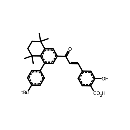 CC(C)(C)c1ccc(-c2cc(C(=O)/C=C/c3ccc(C(=O)O)c(O)c3)cc3c2C(C)(C)CCC3(C)C)cc1